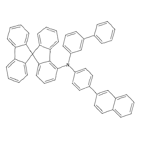 c1ccc(-c2cccc(N(c3ccc(-c4ccc5ccccc5c4)cc3)c3cccc4c3-c3ccccc3C43c4ccccc4-c4ccccc43)c2)cc1